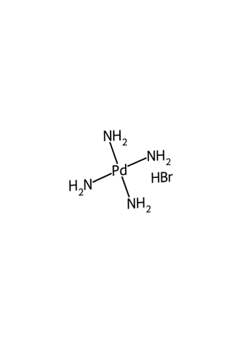 Br.[NH2][Pd]([NH2])([NH2])[NH2]